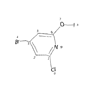 Clc1cc(Br)cc(OI)n1